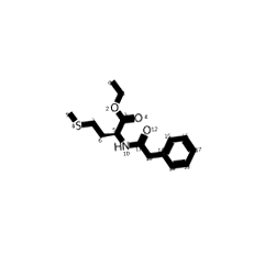 CCOC(=O)[C@H](CCSC)NC(=O)Cc1ccccc1